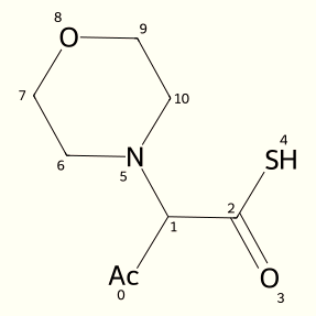 CC(=O)C(C(=O)S)N1CCOCC1